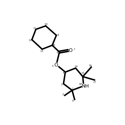 CC1(C)CC(OC(=O)C2CCCCC2)CC(C)(C)N1